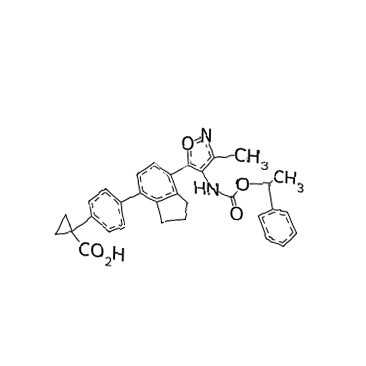 Cc1noc(-c2ccc(-c3ccc(C4(C(=O)O)CC4)cc3)c3c2CCC3)c1NC(=O)OC(C)c1ccccc1